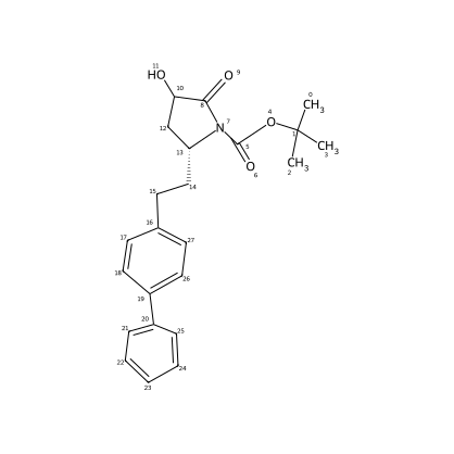 CC(C)(C)OC(=O)N1C(=O)C(O)C[C@H]1CCc1ccc(-c2ccccc2)cc1